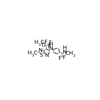 CNC(c1ccc(Nc2cnc3sc(C)nc3c2C(OC)C(F)(F)F)cc1)C(F)F